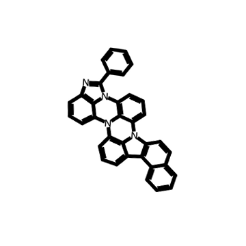 c1ccc(-c2nc3cccc4c3n2c2cccc3c2-n4c2cccc4c5c6ccccc6ccc5n3c42)cc1